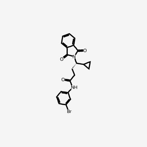 O=C(CC[C@@H](C1CC1)N1C(=O)c2ccccc2C1=O)Nc1cccc(Br)c1